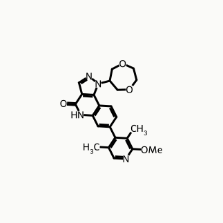 COc1ncc(C)c(-c2ccc3c(c2)[nH]c(=O)c2cnn(C4COCCOC4)c23)c1C